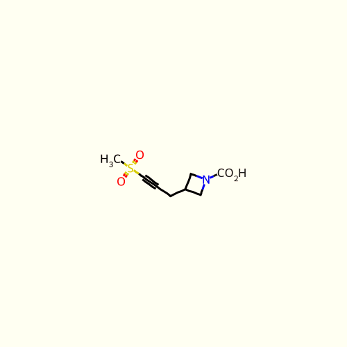 CS(=O)(=O)C#CCC1CN(C(=O)O)C1